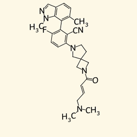 Cc1ccc2cnn(C)c2c1-c1c(F)ccc(N2CCC3(CN(C(=O)/C=C/CN(C)C)C3)C2)c1C#N